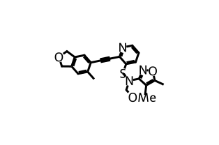 COCN(Sc1cccnc1C#Cc1cc2c(cc1C)COC2)c1noc(C)c1C